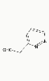 O=[C]Cc1cccnn1